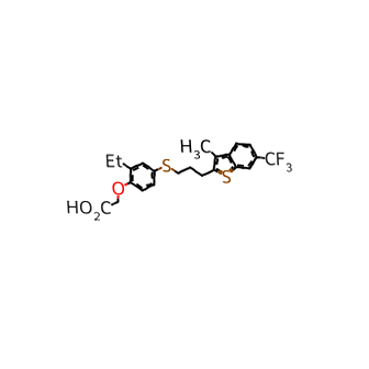 CCc1cc(SCCCc2sc3cc(C(F)(F)F)ccc3c2C)ccc1OCC(=O)O